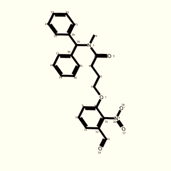 CN(C(=O)CCCOc1cccc(C=O)c1[N+](=O)[O-])C(c1ccccc1)c1ccccc1